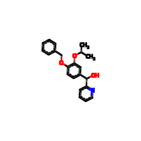 CC(C)Oc1cc(C(O)c2ccccn2)ccc1OCc1ccccc1